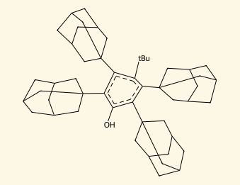 CC(C)(C)c1c(C23CC4CC(CC(C4)C2)C3)c(C23CC4CC(CC(C4)C2)C3)c(O)c(C23CC4CC(CC(C4)C2)C3)c1C12CC3CC(CC(C3)C1)C2